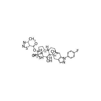 CC1N=NSC1C(=O)O[C@]1(C(=O)S)CC[C@H]2[C@@H]3CCC4=Cc5c(cnn5-c5ccc(F)cc5)C[C@]4(C)[C@H]3[C@@H](O)C[C@@]21C